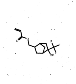 C=CC(=O)OCC1CC2CC1CC2(O)C(F)(F)F